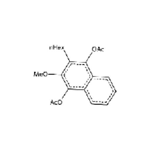 CCCCCCc1c(OC)c(OC(C)=O)c2ccccc2c1OC(C)=O